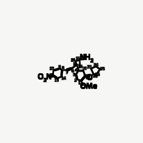 COc1ccc(C2(C#Cc3ccc([N+](=O)[O-])cc3)CC(N)C2)cc1OC1CCCC1